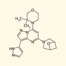 CC1(C)COCCN1c1cc(N2CC3CC(C2)O3)nc2c(-c3ccn[nH]3)cnn12